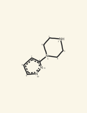 [CH]1CNCCN1c1cccnn1